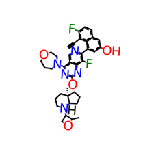 C#Cc1c(F)ccc2cc(O)cc(-c3ncc4c(N5CCCOCC5)nc(OC[C@]56CCC[C@H]5N(C5COC5C)CCC6)nc4c3F)c12